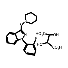 Fc1ccccc1-n1nc(ON2CCCCC2)c2ccccc21.O=C(O)C(O)C(O)C(=O)O